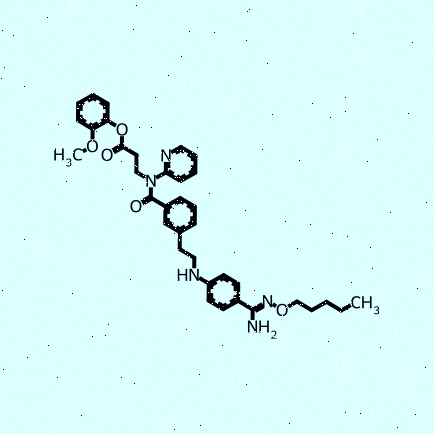 CCCCCON=C(N)c1ccc(NCCc2cccc(C(=O)N(CCC(=O)Oc3ccccc3OC)c3ccccn3)c2)cc1